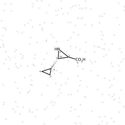 O=C(O)C1N[C@H]1C1CC1